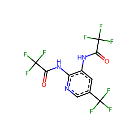 O=C(Nc1cc(C(F)(F)F)cnc1NC(=O)C(F)(F)F)C(F)(F)F